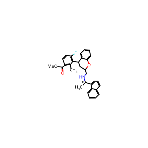 COC(=O)c1ccc(F)c(C2CC(CN[C@H](C)c3cccc4ccccc34)Oc3ccccc32)c1C